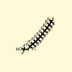 OC(F)(F)CC(F)(F)C(F)(F)C(F)(F)C(F)(F)C(F)(F)C(F)(F)C(F)(F)C(F)(F)C(F)(F)C(F)(F)F